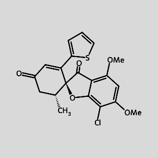 COc1cc(OC)c2c(c1Cl)O[C@]1(C2=O)C(c2cccs2)=CC(=O)C[C@H]1C